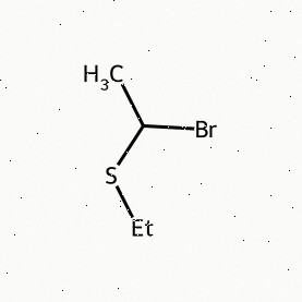 [CH2]CSC(C)Br